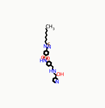 CCCCCCCCc1nc(-c2ccc(S(=O)(=O)Nc3ccc(CCNCC(O)c4cccnc4)cc3)cc2)ns1